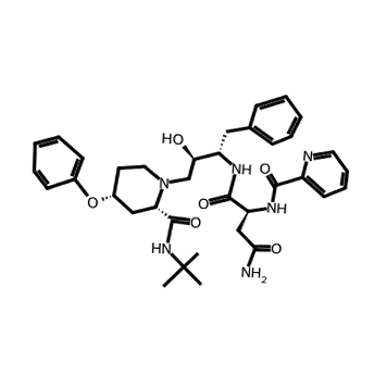 CC(C)(C)NC(=O)[C@@H]1C[C@H](Oc2ccccc2)CCN1C[C@@H](O)[C@H](Cc1ccccc1)NC(=O)[C@H](CC(N)=O)NC(=O)c1ccccn1